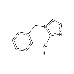 Cc1nccn1Cc1ccccc1.[I+]